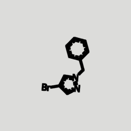 Brc1cnn(Cc2ccccc2)c1